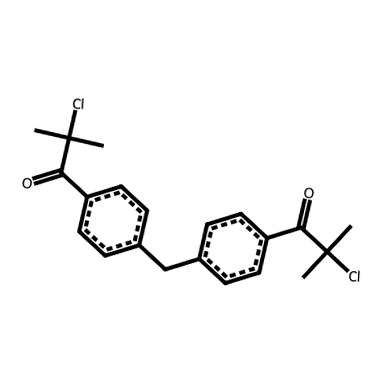 CC(C)(Cl)C(=O)c1ccc(Cc2ccc(C(=O)C(C)(C)Cl)cc2)cc1